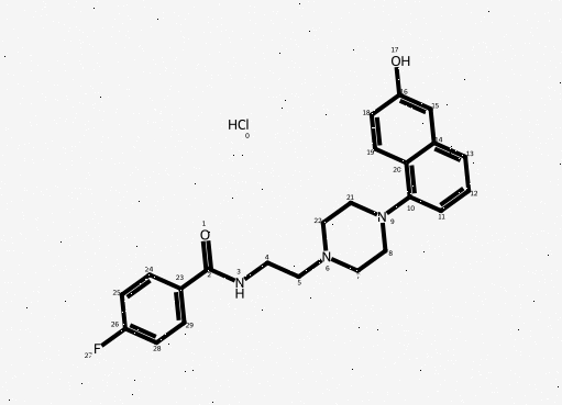 Cl.O=C(NCCN1CCN(c2cccc3cc(O)ccc23)CC1)c1ccc(F)cc1